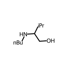 CCCCNC(CO)C(C)C